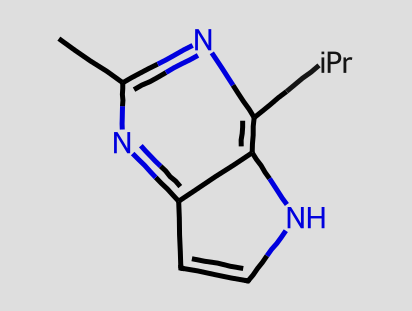 Cc1nc(C(C)C)c2[nH]ccc2n1